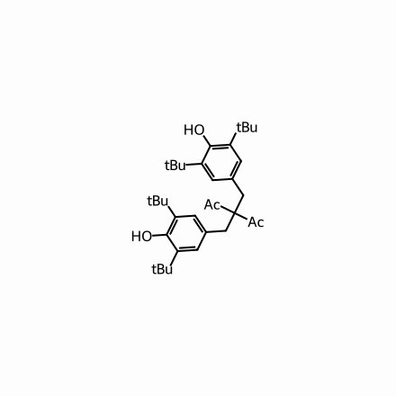 CC(=O)C(Cc1cc(C(C)(C)C)c(O)c(C(C)(C)C)c1)(Cc1cc(C(C)(C)C)c(O)c(C(C)(C)C)c1)C(C)=O